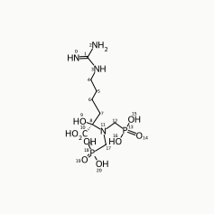 N=C(N)NCCCC[C@@](O)(C(=O)O)N(CP(=O)(O)O)CP(=O)(O)O